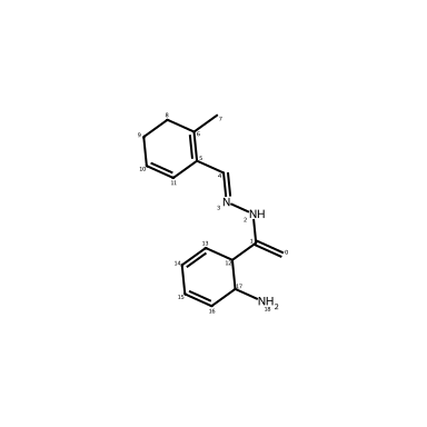 C=C(N/N=C/C1=C(C)CCC=C1)C1C=CC=CC1N